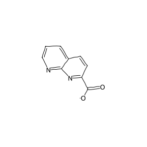 [O]C(=O)c1ccc2cccnc2n1